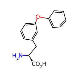 N[C@@H](Cc1cccc(Oc2ccccc2)c1)C(=O)O